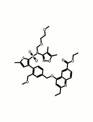 CCOC(=O)c1ccc2nc(CC)cc(OCc3ccc(-c4cc(C)sc4S(=O)(=O)N(COCCOC)c4noc(C)c4C)c(COC)c3)c2c1